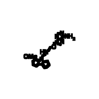 COc1cccc2c3ccccc3n(CCNCCOCn3cnc4c(N)ncnc43)c12